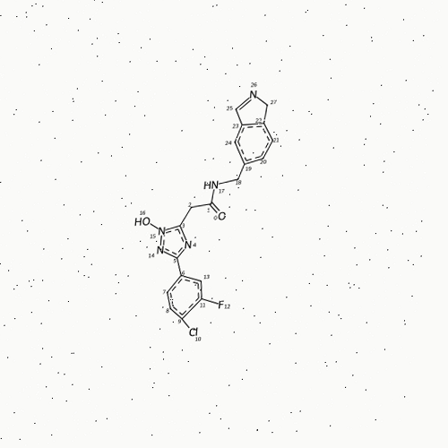 O=C(Cc1nc(-c2ccc(Cl)c(F)c2)nn1O)NCc1ccc2c(c1)C=NC2